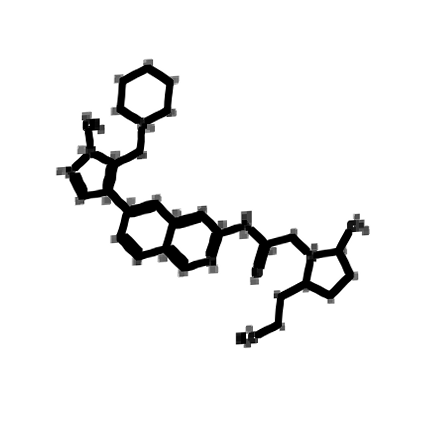 CCCC1CCC(C)N1CC(=O)Nc1cc2cc(-c3cnn(C)c3CN3CCCCC3)ccc2cn1